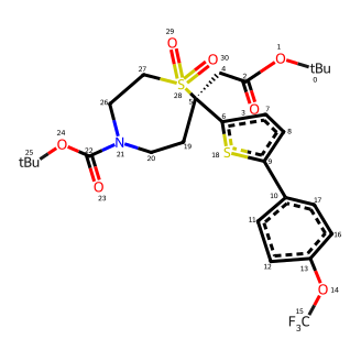 CC(C)(C)OC(=O)C[C@]1(c2ccc(-c3ccc(OC(F)(F)F)cc3)s2)CCN(C(=O)OC(C)(C)C)CCS1(=O)=O